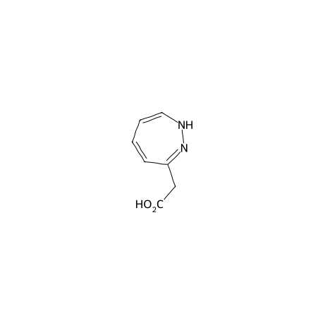 O=C(O)CC1=NNC=CC=C1